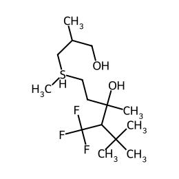 CC(CO)C[SH](C)CCC(C)(O)C(C(C)(C)C)C(F)(F)F